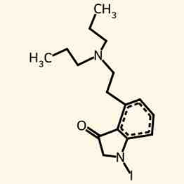 CCCN(CCC)CCc1cccc2c1C(=O)CN2I